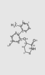 Cc1ncccc1-c1[c]cc(F)cc1OC1CCCNC1=O